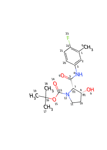 Cc1cc(NC(=O)[C@@H]2[C@H](O)CCN2C(=O)OC(C)(C)C)ccc1F